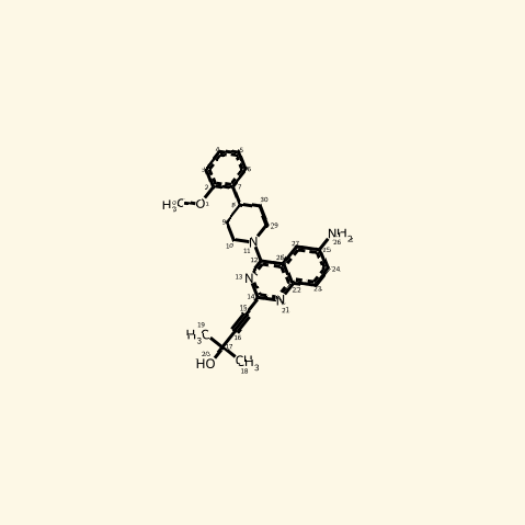 COc1ccccc1C1CCN(c2nc(C#CC(C)(C)O)nc3ccc(N)cc23)CC1